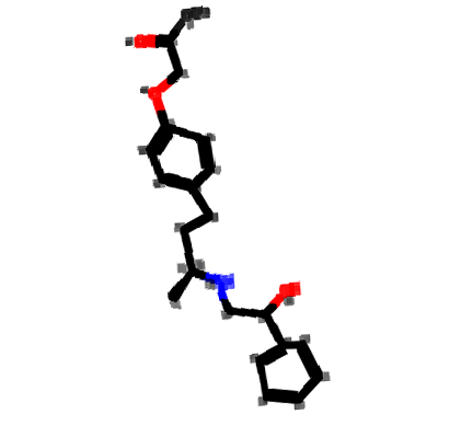 COC(=O)COc1ccc(CC[C@H](C)NCC(O)c2ccccc2)cc1